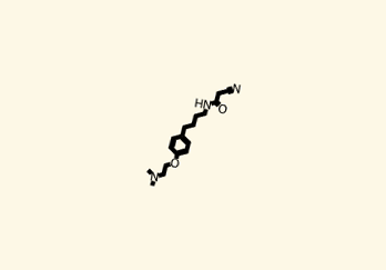 CN(C)CCOc1ccc(CCCCNC(=O)CC#N)cc1